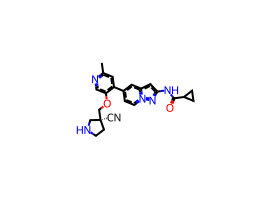 Cc1cc(-c2ccn3nc(NC(=O)C4CC4)cc3c2)c(OC[C@@]2(C#N)CCNC2)cn1